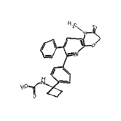 CN1C(=O)COc2nc(-c3ccc(C4(NC(=O)O)CCC4)cc3)c(-c3ccccc3)cc21